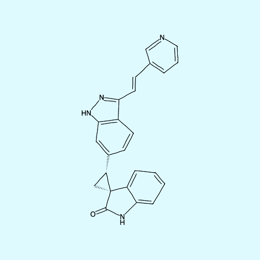 O=C1Nc2ccccc2[C@@]12C[C@@H]2c1ccc2c(C=Cc3cccnc3)n[nH]c2c1